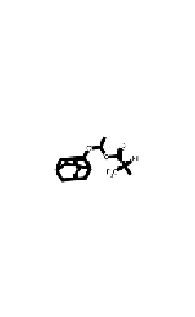 CCC(C)(C(=O)OC(C)OC1C2CC3CC(C2)CC1C3)C(F)(F)F